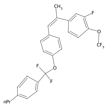 CCCc1ccc(C(F)(F)Oc2ccc(C=C(C)c3ccc(OC(F)(F)F)c(F)c3)cc2)cc1